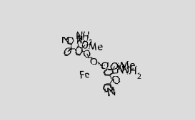 COc1c(OCCOCCOc2ccc(C(=O)c3cccnc3)c(C=NN)c2OC)ccc(C(=O)c2cccnc2)c1C=NN.[Fe]